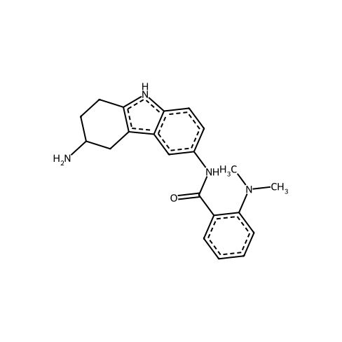 CN(C)c1ccccc1C(=O)Nc1ccc2[nH]c3c(c2c1)CC(N)CC3